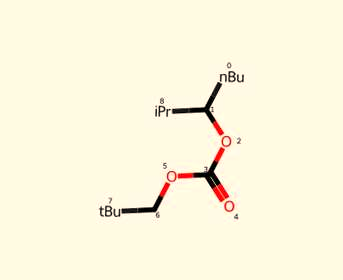 CCCCC(OC(=O)OCC(C)(C)C)C(C)C